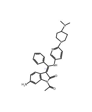 CC(=O)N1C(=O)/C(=C(\Nc2ccc(N3CCC(N(C)C)CC3)nc2)c2ccccc2)c2ccc(N)cc21